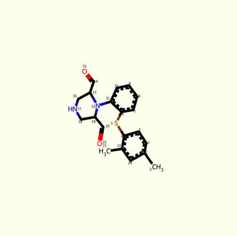 Cc1ccc(Sc2ccccc2N2C(C=O)CNCC2C=O)c(C)c1